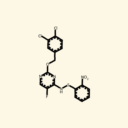 O=[N+]([O-])c1ccccc1SNc1nc(OCc2ccc(Cl)c(Cl)c2)ncc1F